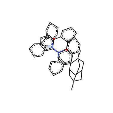 c1ccc(-c2ccccc2-n2c3ccccc3c3ccccc32)c(-c2ccccc2N2c3ccccc3C3(c4ccccc42)C2CC4C[C@H](C2)C[C@H]3C4)c1